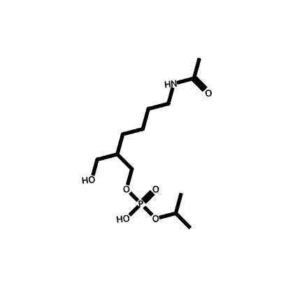 CC(=O)NCCCCC(CO)COP(=O)(O)OC(C)C